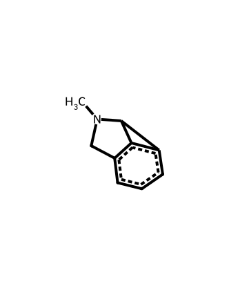 CN1Cc2cccc3c2C31